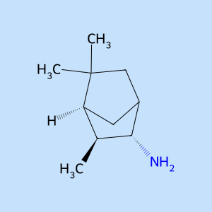 C[C@@H]1[C@@H](N)C2C[C@@H]1C(C)(C)C2